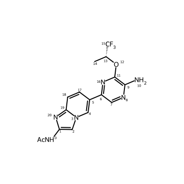 CC(=O)Nc1cn2cc(-c3cnc(N)c(O[C@H](C)C(F)(F)F)n3)ccc2n1